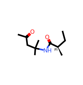 CC[C@@H](C)C(=O)NC(C)(C)CC(C)=O